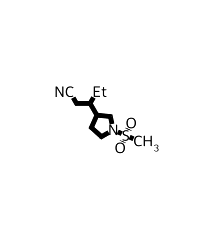 CCC(CC#N)C1CCN(S(C)(=O)=O)C1